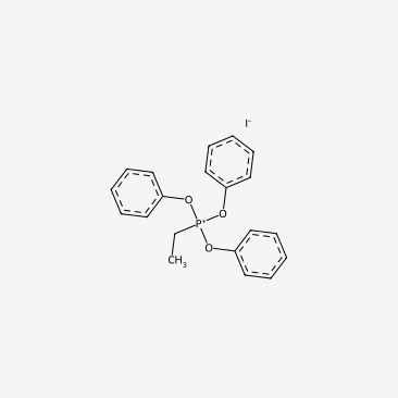 CC[P+](Oc1ccccc1)(Oc1ccccc1)Oc1ccccc1.[I-]